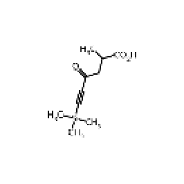 CC(CC(=O)C#C[Si](C)(C)C)C(=O)O